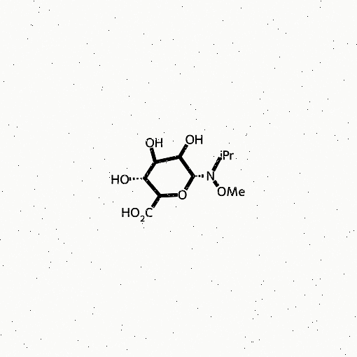 CON(C(C)C)[C@@H]1OC(C(=O)O)[C@H](O)C(O)C1O